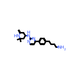 C=C1CC(Nc2nccc(-c3ccc(CCCCN)cc3)n2)CC(C)(C)N1